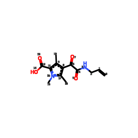 C=CCNC(=O)C(=O)c1c(C)c(C(=O)O)n(C)c1C